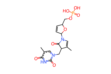 CC1=CN(C2C=CC(COP(=O)(O)O)O2)C(=O)C1Cn1cc(C)c(=O)[nH]c1=O